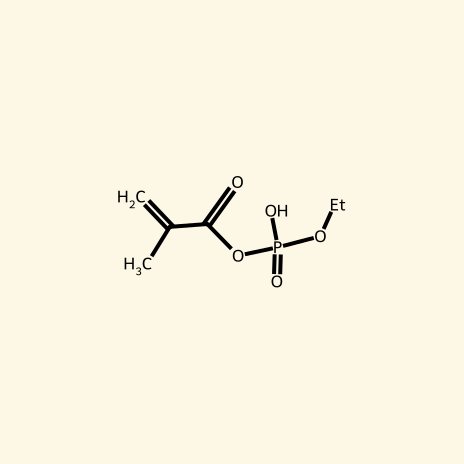 C=C(C)C(=O)OP(=O)(O)OCC